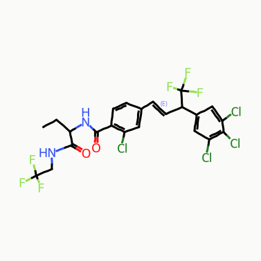 CCC(NC(=O)c1ccc(/C=C/C(c2cc(Cl)c(Cl)c(Cl)c2)C(F)(F)F)cc1Cl)C(=O)NCC(F)(F)F